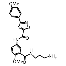 COc1ccc(-c2noc(C(=O)Nc3ccc(OC)c(C(=O)NCCCN)c3)n2)cc1